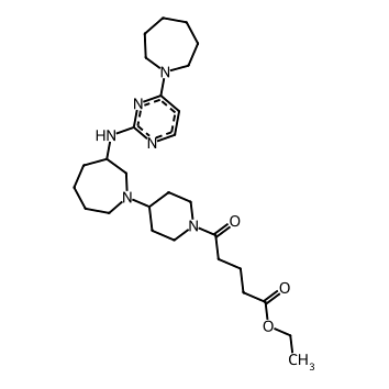 CCOC(=O)CCCC(=O)N1CCC(N2CCCCC(Nc3nccc(N4CCCCCC4)n3)C2)CC1